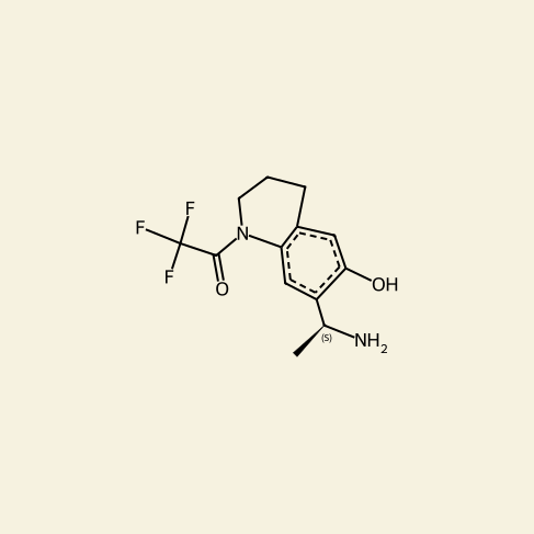 C[C@H](N)c1cc2c(cc1O)CCCN2C(=O)C(F)(F)F